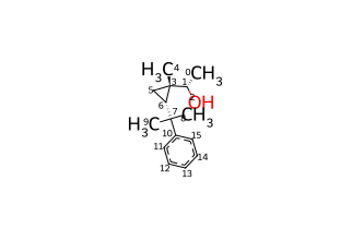 C[C@H](O)[C@@]1(C)C[C@H]1C(C)(C)c1ccccc1